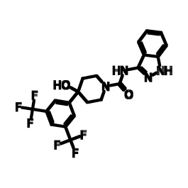 O=C(Nc1n[nH]c2ccccc12)N1CCC(O)(c2cc(C(F)(F)F)cc(C(F)(F)F)c2)CC1